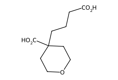 O=C(O)CCCC1(C(=O)O)CCOCC1